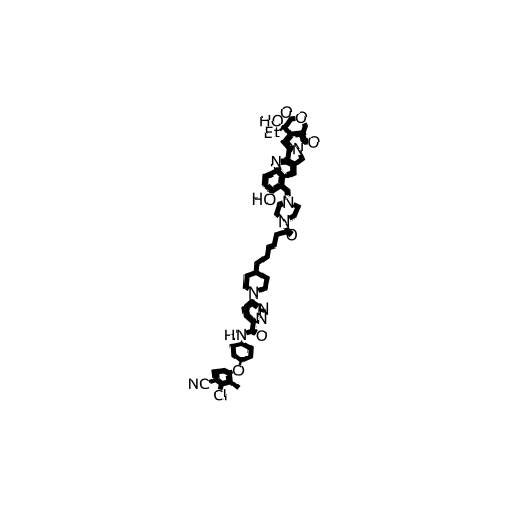 CC[C@@]1(O)C(=O)OCc2c1cc1n(c2=O)Cc2cc3c(CN4CCN(C(=O)CCCCCC5CCN(c6ccc(C(=O)N[C@H]7CC[C@H](Oc8ccc(C#N)c(Cl)c8C)CC7)nn6)CC5)CC4)c(O)ccc3nc2-1